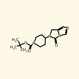 CC(C)(C)OC(=O)N1CCC(N2Cc3cncn3C2=O)CC1